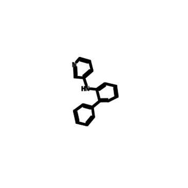 c1ccc(-c2ccccc2Nc2cccnc2)cc1